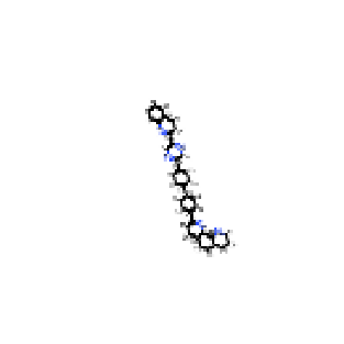 c1ccc2nc(-c3cnc(-c4ccc(-c5ccc(-c6ccc7ccc8cccnc8c7n6)cc5)cc4)cn3)ccc2c1